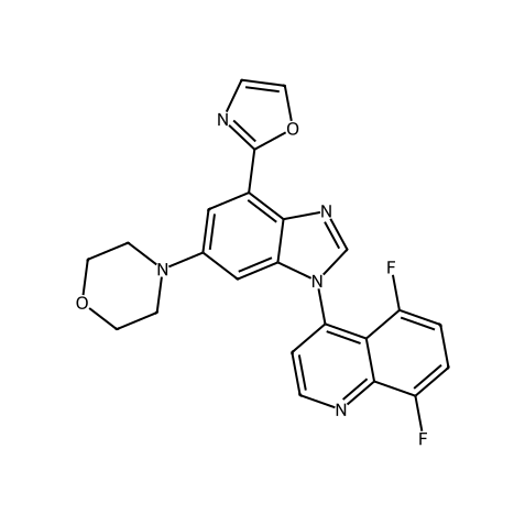 Fc1ccc(F)c2c(-n3cnc4c(-c5ncco5)cc(N5CCOCC5)cc43)ccnc12